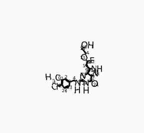 Cc1cc(CNc2nc3c(C[C@H](F)OCCO)[nH]nc3c(=O)[nH]2)ccc1Cl